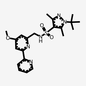 COc1cc(CNS(=O)(=O)c2c(C)nn(C(C)(C)C)c2C)nc(-c2ccccn2)c1